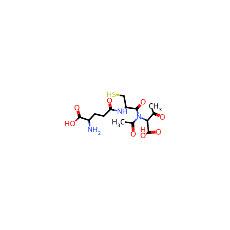 CC(=O)C(C(=O)O)N(C(C)=O)C(=O)C(CS)NC(=O)CCC(N)C(=O)O